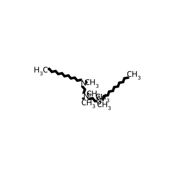 CCCCCCCCCCCCN(C)CCC[N+](C)(CC)CCC[N+](C)(C)CCCCCCCCCCCC